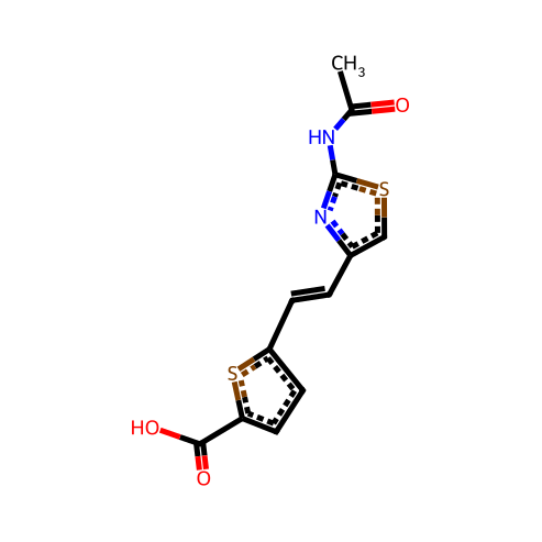 CC(=O)Nc1nc(/C=C/c2ccc(C(=O)O)s2)cs1